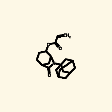 C=CC(=O)OC1CCC2CC1N(C13CC4CC(CC(C4)C1)C3)C2=O